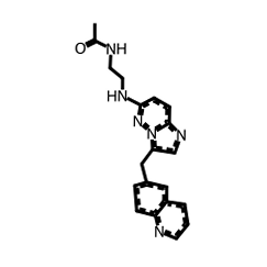 CC(=O)NCCNc1ccc2ncc(Cc3ccc4ncccc4c3)n2n1